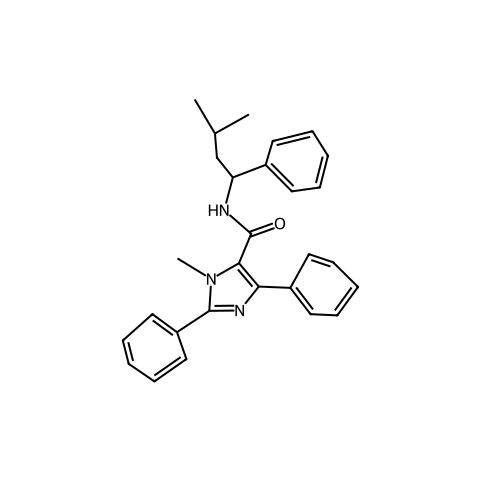 CC(C)CC(NC(=O)c1c(-c2ccccc2)nc(-c2ccccc2)n1C)c1ccccc1